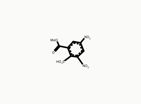 COC(=O)c1cc([N+](=O)[O-])cc([N+](=O)[O-])c1S(=O)(=O)O